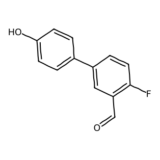 O=Cc1cc(-c2ccc(O)cc2)ccc1F